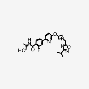 CC(C)c1noc(CN2CC(Oc3ccc(-c4ccc(C(=O)N[C@H](C)CO)c(F)c4)nc3)C2)n1